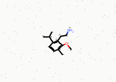 COc1c(C)ccc(C(C)C)c1CCN